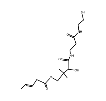 CC=CCC(=O)OCC(C)(C)C(O)C(=O)NCCC(=O)NCCS